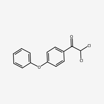 O=C(c1ccc(Oc2ccccc2)cc1)C(Cl)Cl